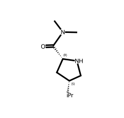 CC(C)[C@H]1CN[C@@H](C(=O)N(C)C)C1